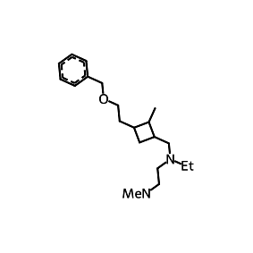 CCN(CCNC)CC1CC(CCOCc2ccccc2)C1C